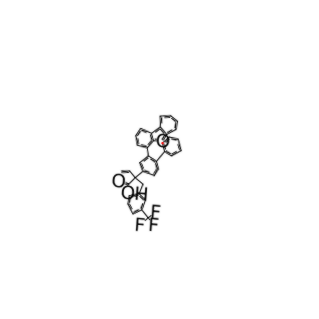 C=CC(Cc1cccc(C(F)(F)F)c1)(C(=O)O)c1ccc(-c2ccccc2)c(-c2cccc3c2oc2ccccc23)c1